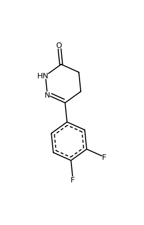 O=C1CCC(c2ccc(F)c(F)c2)=NN1